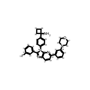 NC1(c2ccc(-n3c(-c4cccc(F)c4)nc4ccc(-c5cccc(N6CCOCC6)c5)nc43)cc2)CCC1